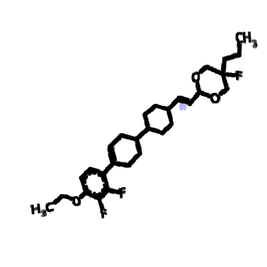 CCCC1(F)COC(/C=C/C2CCC(C3CC=C(c4ccc(OCC)c(F)c4F)CC3)CC2)OC1